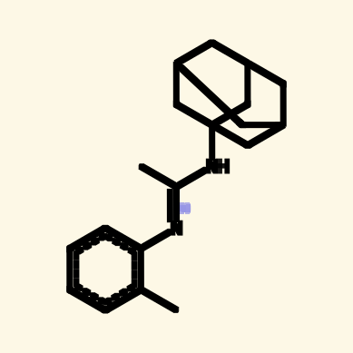 C/C(=N\c1ccccc1C)NC12CC3CC(CC(C3)C1)C2